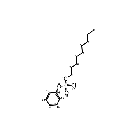 CCCCCCCCCOP(=O)(Cl)Oc1ccccc1